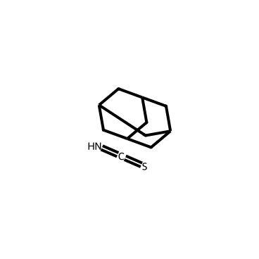 C1C2CC3CC1CC(C2)C3.N=C=S